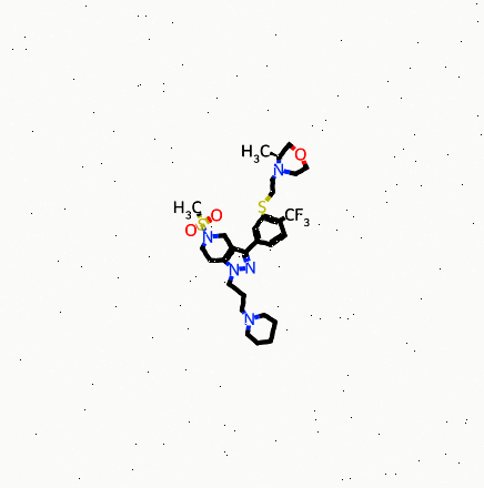 C[C@H]1COCCN1CCSc1cc(-c2nn(CCCN3CCCCC3)c3c2CN(S(C)(=O)=O)CC3)ccc1C(F)(F)F